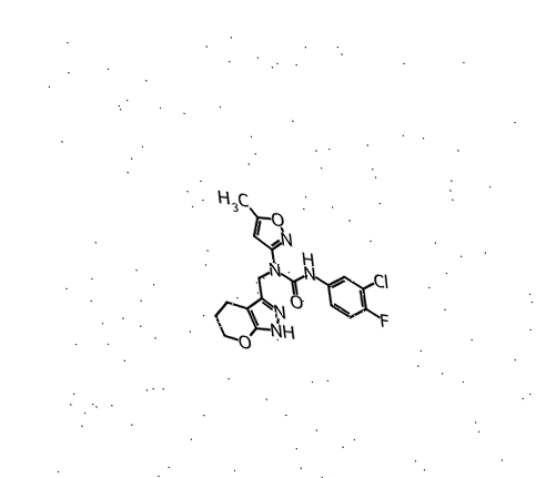 Cc1cc(N(Cc2n[nH]c3c2CCCO3)C(=O)Nc2ccc(F)c(Cl)c2)no1